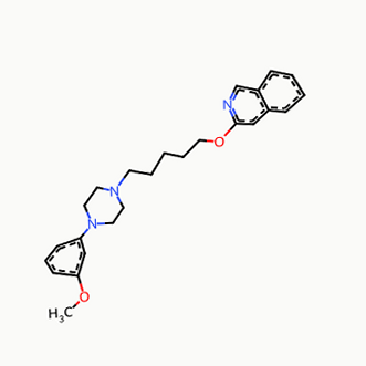 COc1cccc(N2CCN(CCCCCOc3cc4ccccc4cn3)CC2)c1